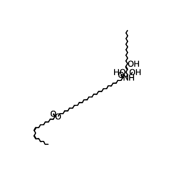 CCCCC/C=C\C/C=C\CCCCCCCC(=O)OCCCCCCCCCCCCCCCCCCCCCCCCCCC(=O)N[C@@H](CO)[C@H](O)/C=C/[C@@H](O)CCCCCCCCCCCC